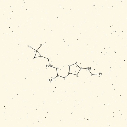 CC(C)CNC1CCC(CC(C)CNCC2CC2(F)F)C1